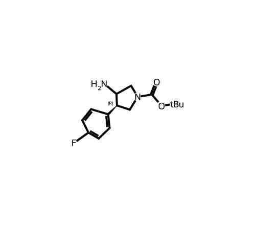 CC(C)(C)OC(=O)N1CC(N)[C@H](c2ccc(F)cc2)C1